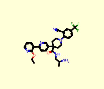 CCOc1ncccc1-c1ccc(C2(C(=O)NCC(C)N)CCN(c3ccc(C(F)(F)F)cc3C#N)CC2)cn1